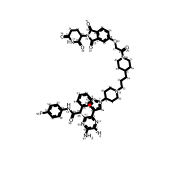 [2H]c1nc(-c2cnn(C3CCN(CCCC4CCN(C(=O)COc5ccc6c(c5)C(=O)N(C5CCC(=O)NC5=O)C6=O)CC4)CC3)c2)c([C@H](C(=O)Nc2ccc(F)cc2)c2ccccc2)nc1N